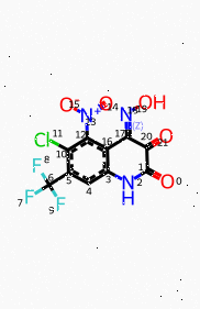 O=C1Nc2cc(C(F)(F)F)c(Cl)c([N+](=O)[O-])c2/C(=N/O)C1=O